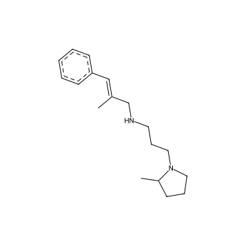 C/C(=C\c1ccccc1)CNCCCN1CCCC1C